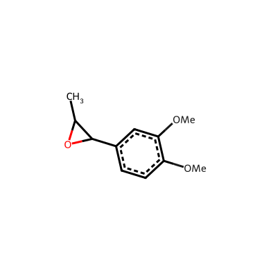 COc1ccc(C2OC2C)cc1OC